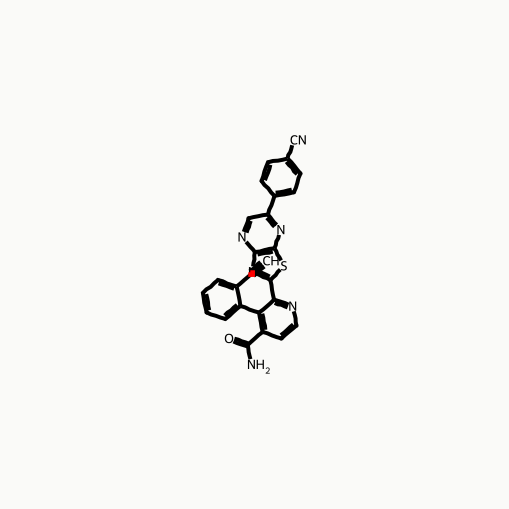 C#Cc1ccccc1-c1c(C(N)=O)ccnc1-c1nc2ncc(-c3ccc(C#N)cc3)nc2s1